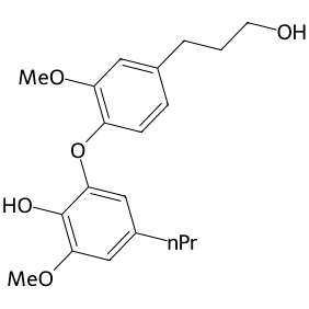 CCCc1cc(OC)c(O)c(Oc2ccc(CCCO)cc2OC)c1